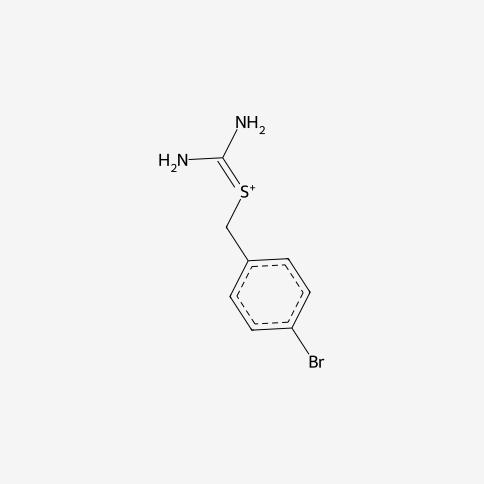 NC(N)=[S+]Cc1ccc(Br)cc1